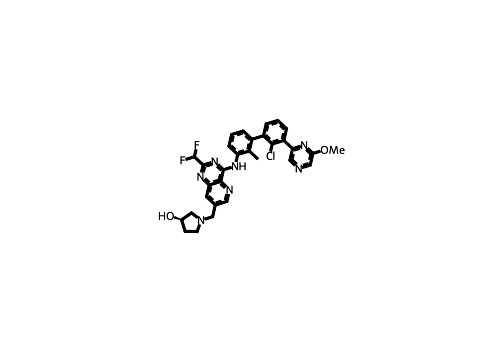 COc1cncc(-c2cccc(-c3cccc(Nc4nc(C(F)F)nc5cc(CN6CC[C@@H](O)C6)cnc45)c3C)c2Cl)n1